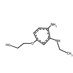 CCNc1cc(OCCO)ccc1N